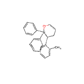 Cc1ccccc1C1CC=CO[Si]1(c1ccccc1)c1ccccc1